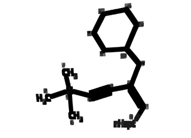 CCCCCCCC=C(C#C[Si](C)(C)C)CC1CCCCC1